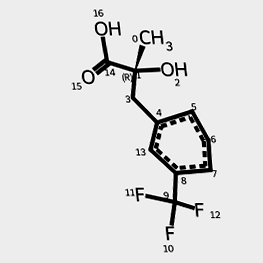 C[C@@](O)(Cc1cccc(C(F)(F)F)c1)C(=O)O